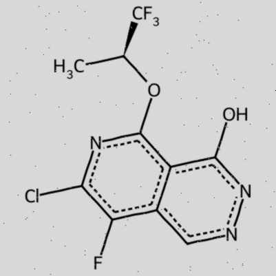 C[C@H](Oc1nc(Cl)c(F)c2cnnc(O)c12)C(F)(F)F